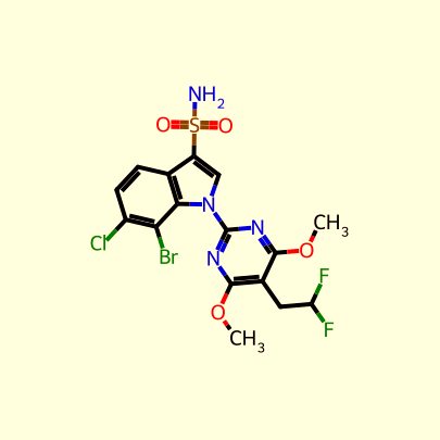 COc1nc(-n2cc(S(N)(=O)=O)c3ccc(Cl)c(Br)c32)nc(OC)c1CC(F)F